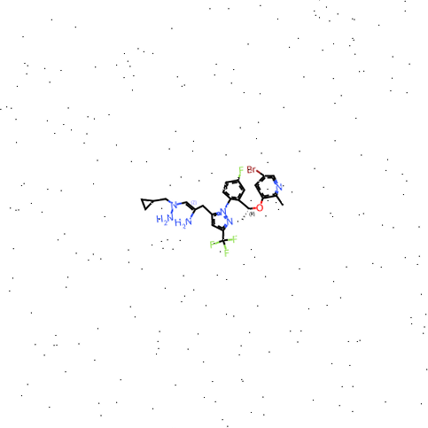 Cc1ncc(Br)cc1O[C@H](C)c1cc(F)ccc1-n1nc(C(F)(F)F)cc1C/C(N)=C/N(N)CC1CC1